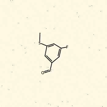 CSc1cc(F)cc([C]=O)c1